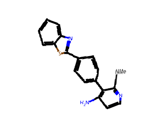 CNc1nccc(N)c1-c1ccc(-c2nc3ccccc3s2)cc1